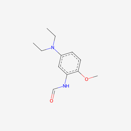 CCN(CC)c1ccc(OC)c(NC=O)c1